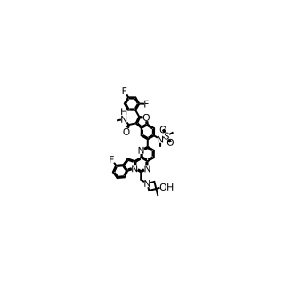 CNC(=O)c1c(-c2ccc(F)cc2F)oc2cc(N(C)S(C)(=O)=O)c(-c3ccc4nc(CN5CC(C)(O)C5)n5c6cccc(F)c6cc5c4n3)cc12